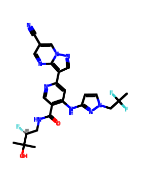 CC(F)(F)Cn1ccc(Nc2cc(-c3cnn4cc(C#N)cnc34)ncc2C(=O)NC[C@@H](F)C(C)(C)O)n1